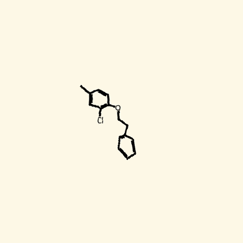 Cc1ccc(OCCc2ccccc2)c(Cl)c1